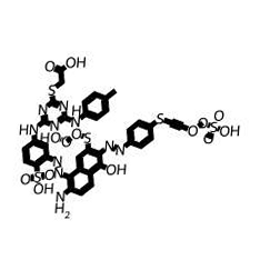 Cc1ccc(Nc2nc(Nc3ccc(S(=O)(=O)O)c(N=Nc4c(N)ccc5c(O)c(N=Nc6ccc(SC#COOS(=O)(=O)O)cc6)c(SOOO)cc45)c3)nc(SCC(=O)O)n2)cc1